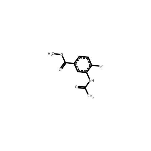 COC(=O)c1ccc(Br)c(NC(C)=O)c1